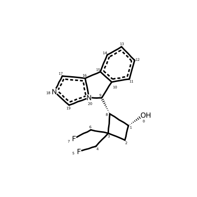 O[C@@H]1CC(CF)(CF)[C@@H]1C1c2ccccc2-c2cncn21